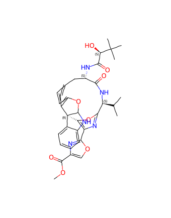 COC(=O)c1coc(-c2nc3oc2[C@@]24c5ccccc5NC2Oc2ccc(cc24)C[C@H](NC(=O)[C@@H](O)C(C)(C)C)C(=O)N[C@H]3C(C)C)n1